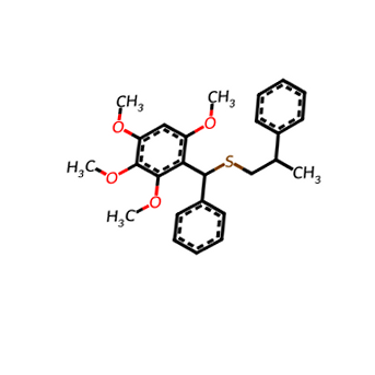 COc1cc(OC)c(C(SCC(C)c2ccccc2)c2ccccc2)c(OC)c1OC